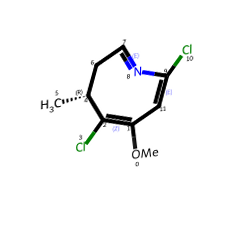 COC1=C(\Cl)[C@H](C)C/C=N/C(Cl)=C\1